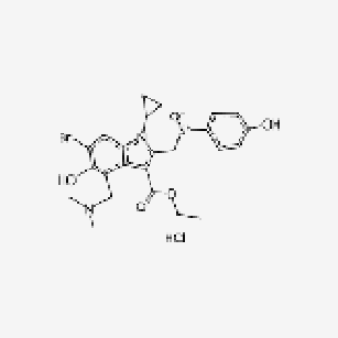 CCOC(=O)c1c(C[S+]([O-])c2ccc(O)cc2)n(C2CC2)c2cc(Br)c(O)c(CN(C)C)c12.Cl